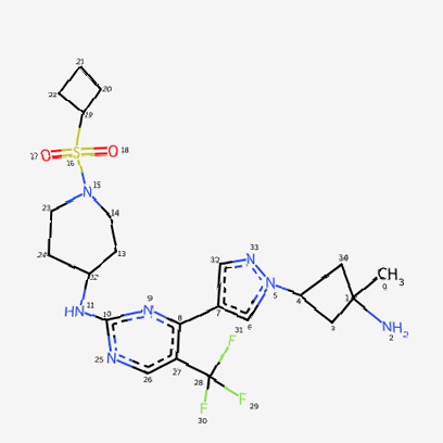 CC1(N)CC(n2cc(-c3nc(NC4CCN(S(=O)(=O)C5CCC5)CC4)ncc3C(F)(F)F)cn2)C1